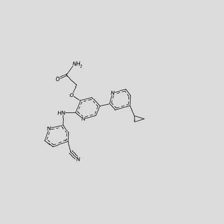 N#Cc1ccnc(Nc2ncc(-c3cc(C4CC4)ccn3)cc2OCC(N)=O)c1